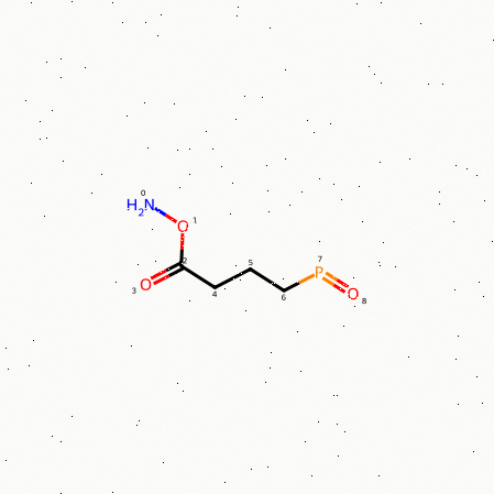 NOC(=O)CCCP=O